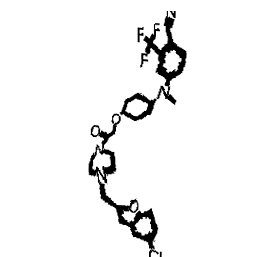 CN(c1ccc(C#N)c(C(F)(F)F)c1)[C@H]1CC[C@H](OCC(=O)N2CCN(Cc3cc4cc(Cl)ccc4o3)CC2)CC1